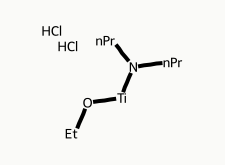 CCC[N](CCC)[Ti][O]CC.Cl.Cl